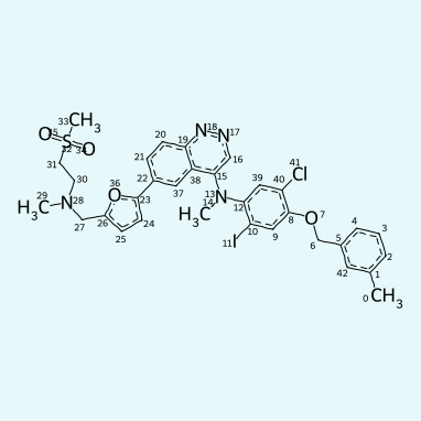 Cc1cccc(COc2cc(I)c(N(C)c3cnnc4ccc(-c5ccc(CN(C)CCS(C)(=O)=O)o5)cc34)cc2Cl)c1